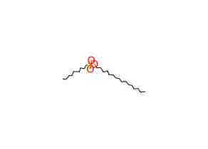 CCCCCCCCCCCCCCCCOS(=O)(=O)CCCCCCCCC